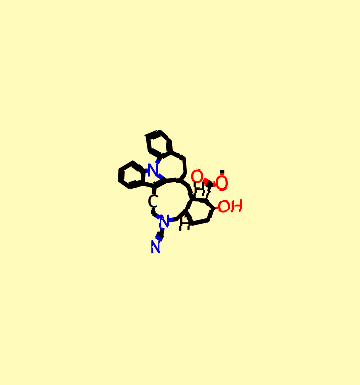 COC(=O)[C@@H]1[C@H]2CC3CCc4ccccc4-n4c3c(c3ccccc34)CCN(C#N)C[C@@H]2CC[C@@H]1O